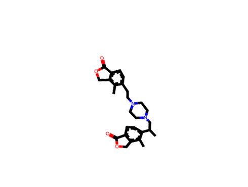 Cc1c(CCN2CCN(CC(C)c3ccc4c(c3C)COC4=O)CC2)ccc2c1COC2=O